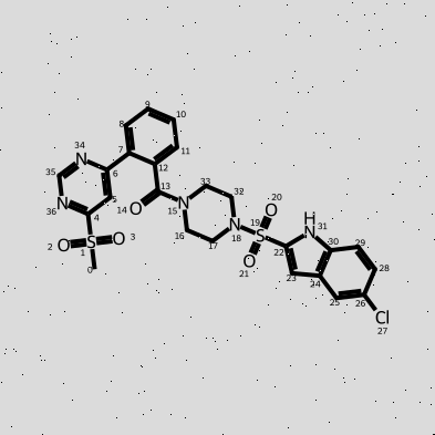 CS(=O)(=O)c1cc(-c2ccccc2C(=O)N2CCN(S(=O)(=O)c3cc4cc(Cl)ccc4[nH]3)CC2)ncn1